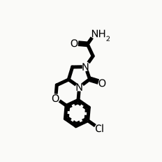 NC(=O)CN1CC2COc3ccc(Cl)cc3N2C1=O